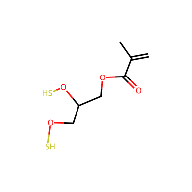 C=C(C)C(=O)OCC(COS)OS